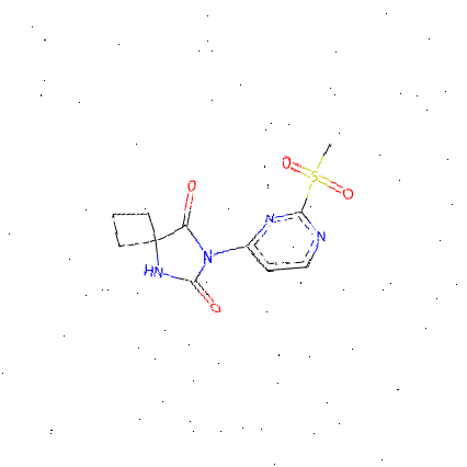 CS(=O)(=O)c1nccc(N2C(=O)NC3(CCC3)C2=O)n1